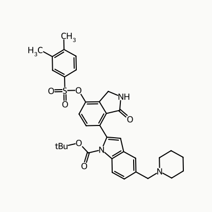 Cc1ccc(S(=O)(=O)Oc2ccc(-c3cc4cc(CN5CCCCC5)ccc4n3C(=O)OC(C)(C)C)c3c2CNC3=O)cc1C